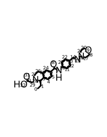 CCC1c2ccc(C(=O)Nc3ccc(C=NN4CCOCC4)cc3)cc2CCN1CC(=O)O